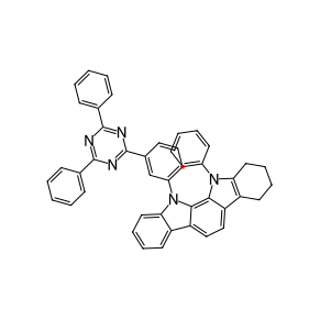 c1ccc(-c2nc(-c3ccccc3)nc(-c3cccc(-n4c5ccccc5c5ccc6c7c(n(-c8ccccc8)c6c54)CCCC7)c3)n2)cc1